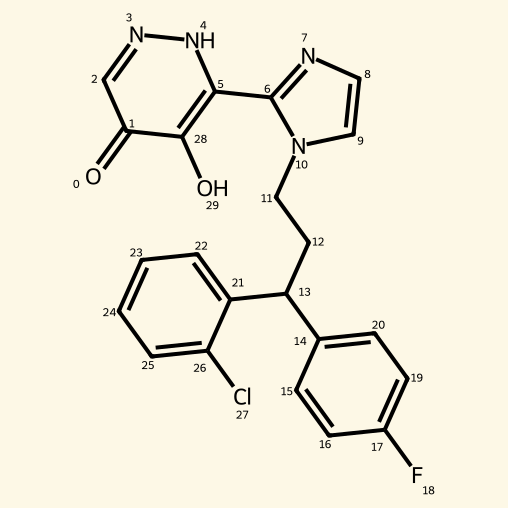 O=c1cn[nH]c(-c2nccn2CCC(c2ccc(F)cc2)c2ccccc2Cl)c1O